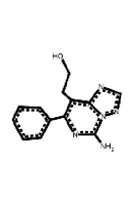 Nc1nc(-c2ccccc2)c(CCO)c2ncnn12